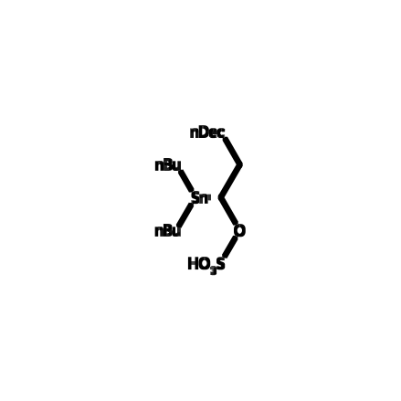 CCCCCCCCCCCCOS(=O)(=O)O.CCC[CH2][Sn][CH2]CCC